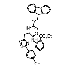 CCOC(=O)c1ccccc1NC(=O)C(Cc1nc(-c2ccc(C)cc2)no1)NC(=O)OCC1c2ccccc2-c2ccccc21